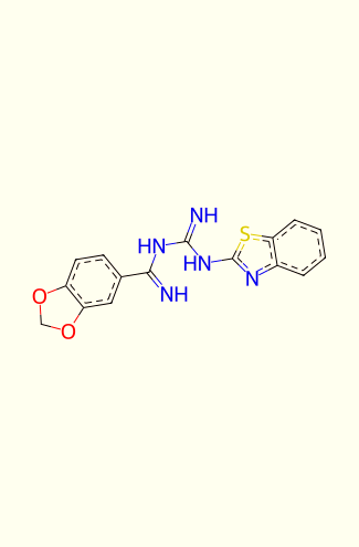 N=C(NC(=N)c1ccc2c(c1)OCO2)Nc1nc2ccccc2s1